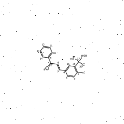 Cc1ccc(/C=C/C(=O)c2ccccc2)cc1C(F)(F)F